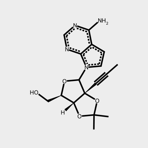 CC#C[C@@]12OC(C)(C)O[C@@H]1[C@@H](CO)OC2n1ccc2c(N)ncnc21